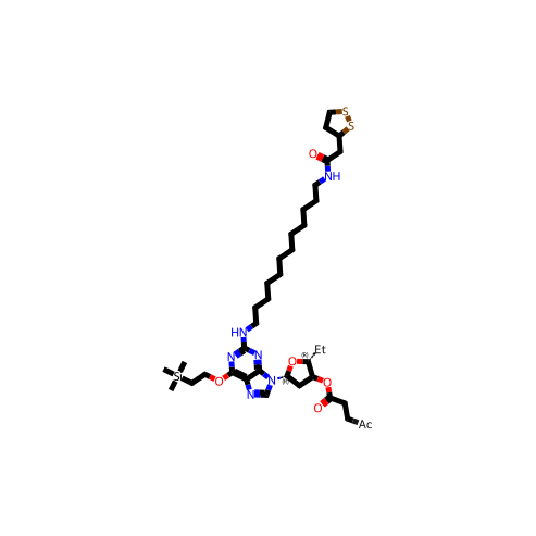 CC[C@H]1O[C@@H](n2cnc3c(OCC[Si](C)(C)C)nc(NCCCCCCCCCCCCNC(=O)CC4CCSS4)nc32)CC1OC(=O)CCC(C)=O